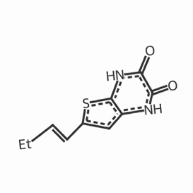 CC/C=C/c1cc2[nH]c(=O)c(=O)[nH]c2s1